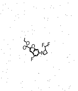 CCOC(=O)c1cc2c(F)cc(N3CCC3C(F)F)cc2o1